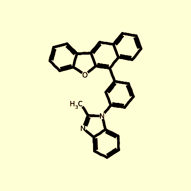 Cc1nc2ccccc2n1-c1cccc(-c2c3ccccc3cc3c2oc2ccccc23)c1